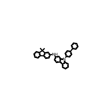 CC1(C)c2ccccc2-c2ccc(Nc3ccc4c5ccccc5n(-c5ccc(-c6ccccc6)cc5)c4c3)cc21